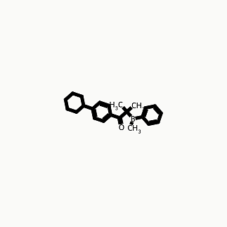 CB(c1ccccc1)C(C)(C)C(=O)c1ccc(C2CCCCC2)cc1